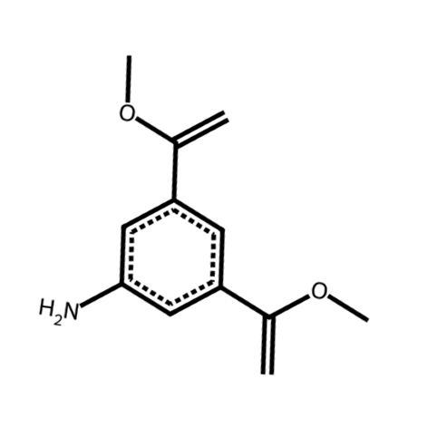 C=C(OC)c1cc(N)cc(C(=C)OC)c1